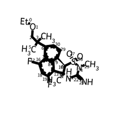 CCOCC(C)(C)c1ccc([C@@H]2[C@@](C)(c3ccc(F)cc3F)NC(=N)N(C)S2(=O)=O)cc1